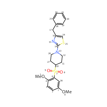 COc1ccc(OC)c(S(=O)(=O)C2CCN(c3nc(Cc4ccccc4)cs3)CC2)c1